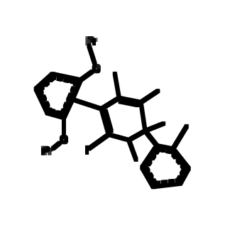 CC1=C(C)C(C)(c2ccccc2C)C(C)C(I)=C1c1c(OC(C)C)cccc1OC(C)C